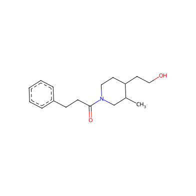 CC1CN(C(=O)CCc2ccccc2)CCC1CCO